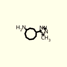 Cn1nnnc1C1CCCCCC(N)CC1